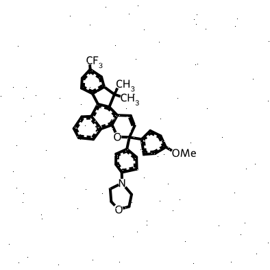 COc1ccc(C2(c3ccc(N4CCOCC4)cc3)C=Cc3c4c(c5ccccc5c3O2)-c2ccc(C(F)(F)F)cc2C4(C)C)cc1